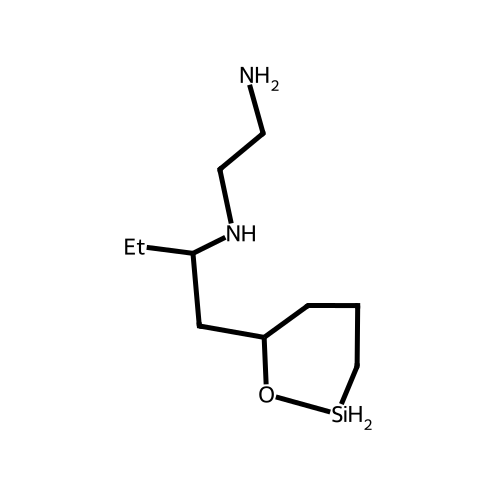 CCC(CC1CCC[SiH2]O1)NCCN